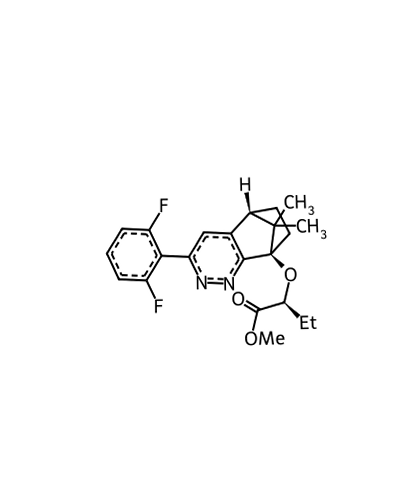 CC[C@H](O[C@@]12CC[C@@H](c3cc(-c4c(F)cccc4F)nnc31)C2(C)C)C(=O)OC